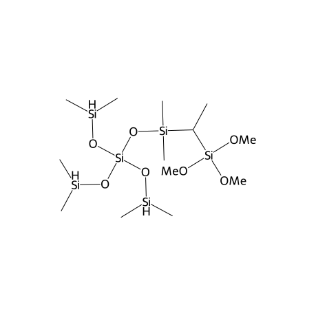 CO[Si](OC)(OC)C(C)[Si](C)(C)O[Si](O[SiH](C)C)(O[SiH](C)C)O[SiH](C)C